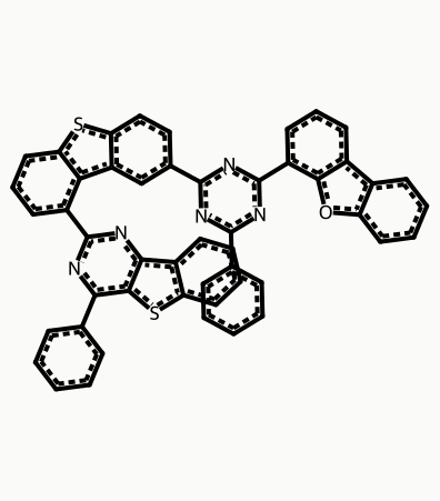 c1ccc(-c2nc(-c3ccc4sc5cccc(-c6nc(-c7ccccc7)c7sc8ccccc8c7n6)c5c4c3)nc(-c3cccc4c3oc3ccccc34)n2)cc1